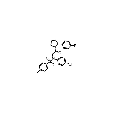 Cc1ccc(S(=O)(=O)N(CC(=O)N2CCCC2c2ccc(F)cc2)c2ccc(Cl)cc2)cc1